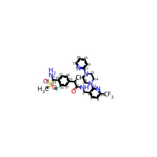 CC(C(=O)NCc1ccc(C(F)(F)F)nc1N1CCN(c2ccccn2)CC1)c1ccc(C(N)S(C)(=O)=O)c(F)c1